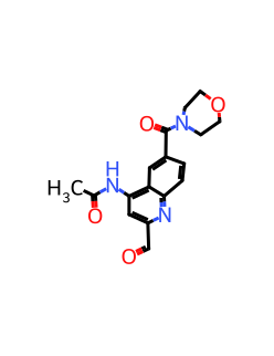 CC(=O)Nc1cc(C=O)nc2ccc(C(=O)N3CCOCC3)cc12